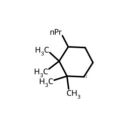 CCCC1CC[C]C(C)(C)C1(C)C